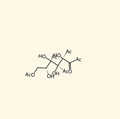 CC(=O)OC[C@@H](O)[C@](O)(C(C)=O)[C@@](O)(C(C)=O)[C@](O)(C(C)=O)C(=O)C(C)=O